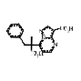 CCOC(=O)C(C)(Cc1ccccc1)c1ccnc2c(C(=O)O)cnn12